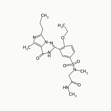 CCCc1nc(C)c2c(=O)[nH]c(-c3cc(S(=O)(=O)N(C)CC(=O)NC)ccc3OCC)nn12